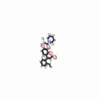 CCc1ccccc1-c1cc(=O)oc2cc(O[C@H](C)C(=O)N3CCCCC3)ccc12